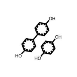 Oc1ccc(-c2ccc(O)cc2)cc1.Oc1ccc(O)cc1